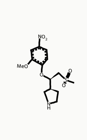 COc1cc([N+](=O)[O-])ccc1O[C@@H](CS(C)(=O)=O)[C@H]1CCNC1